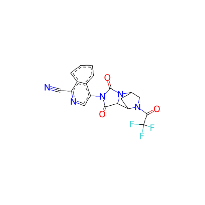 N#Cc1ncc(N2C(=O)C3C4CC(CN4C(=O)C(F)(F)F)N3C2=O)c2ccccc12